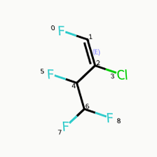 F/C=C(/Cl)C(F)C(F)F